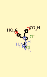 Nc1nc(N)c(CNC2CCC[N+](CCCc3ccc(OCC(=O)O)cc3)(CCCc3ccc(OCC(=O)O)cc3)C2)nc1Cl.[Cl-]